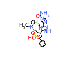 CCN(CC)CCC([C@H](CCc1ccccc1)c1nc(-c2cn(C(N)=O)cn2)n[nH]1)S(=O)(=O)O